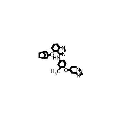 Cc1cc(Nc2ncnc3cccc(OC4CC5CCC(C5)C4)c23)ccc1Oc1ccn2ncnc2c1